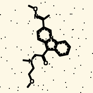 COCCN(C)CC(=O)c1c2ccccc2n2cc(C(C)=NOC)ccc12